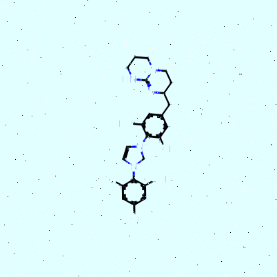 Cc1cc(C)c(N2C=CN(c3c(C)cc(CC4CCN5CCCNC5=N4)cc3C)C2)c(C)c1